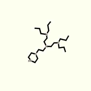 CCCN(CCC)CCN(CCN(CCC)CCC)CCN1CCNCC1